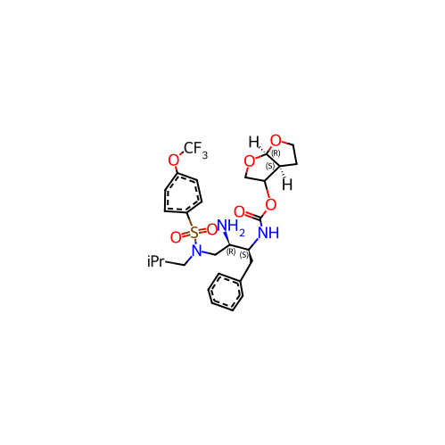 CC(C)CN(C[C@@H](N)[C@H](Cc1ccccc1)NC(=O)OC1CO[C@H]2OCC[C@@H]12)S(=O)(=O)c1ccc(OC(F)(F)F)cc1